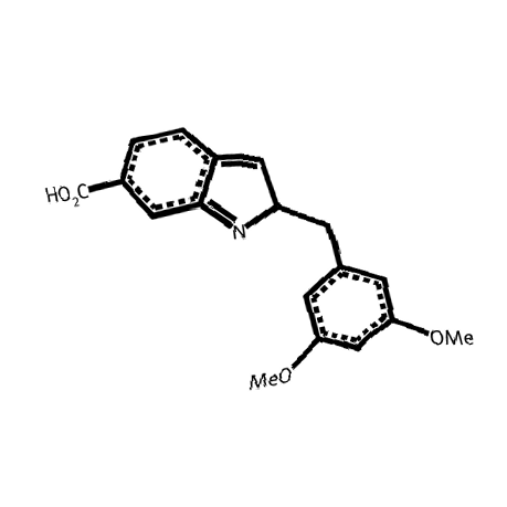 COc1cc(CC2C=c3ccc(C(=O)O)cc3=N2)cc(OC)c1